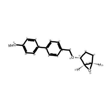 COc1ccc(-c2ccc(CO[C@@H]3CC[C@H]4O[C@@H]34)cc2)cc1